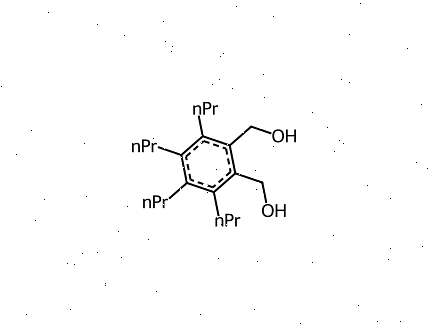 CCCc1c(CO)c(CO)c(CCC)c(CCC)c1CCC